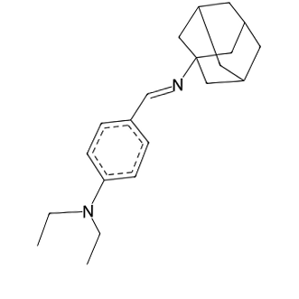 CCN(CC)c1ccc(C=NC23CC4CC(CC(C4)C2)C3)cc1